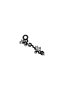 CCOC1NC2(CCCCCCCC2)CCC1C(=O)N1CCC(CCCCNC(=O)C2Cc3cnccc3N2)CC1